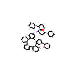 c1ccc(-c2ccc(N(c3ccc4c5ccccc5c5ccccc5c5ccccc5c5c(ccc6c7ccccc7oc65)c4c3)c3ccccc3-c3ccccc3)cc2)cc1